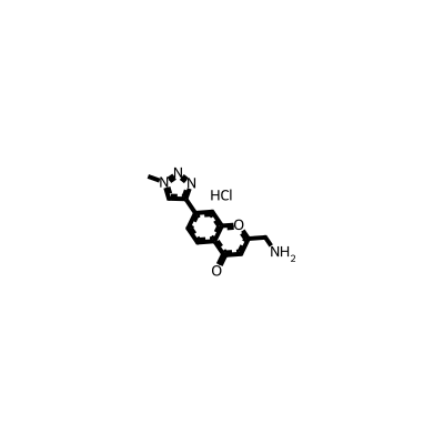 Cl.Cn1cc(-c2ccc3c(=O)cc(CN)oc3c2)nn1